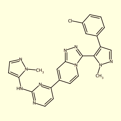 Cn1nccc1Nc1nccc(-c2ccn3c(-c4c(-c5cccc(Cl)c5)cnn4C)nnc3c2)n1